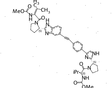 COC(=O)NC(C(=O)N1CCC[C@H]1c1nc2cc(C#Cc3ccc(-c4c[nH]c([C@@H]5CCCN5C(=O)[C@@H](NC(=O)OC)C(C)C)n4)cc3)ccc2[nH]1)=C(C)C